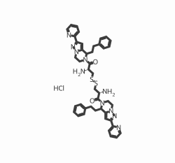 Cl.N[C@@H](CSSC[C@H](N)C(=O)N1CCn2nc(-c3ccccn3)cc2C1CCc1ccccc1)C(=O)N1CCn2nc(-c3ccccn3)cc2C1CCc1ccccc1